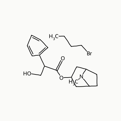 CCCCBr.CN1C2CCC1CC(OC(=O)C(CO)c1ccccc1)C2